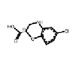 O=C(O)[C@@H]1CNc2cc(Cl)ccc2O1